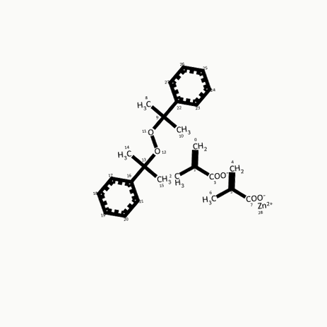 C=C(C)C(=O)[O-].C=C(C)C(=O)[O-].CC(C)(OOC(C)(C)c1ccccc1)c1ccccc1.[Zn+2]